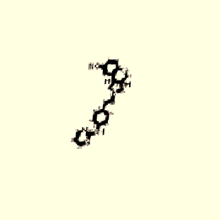 N#Cc1ccc2c(c1)[C@@H]1CN(CCC3CCC(Nc4ncccn4)CC3)C[C@H]1CO2